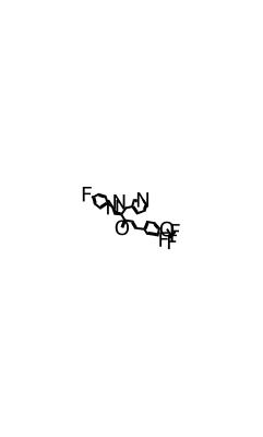 O=C(C=Cc1ccc(OC(F)(F)F)cc1)c1cn(-c2ccc(F)cc2)nc1-c1cccnc1